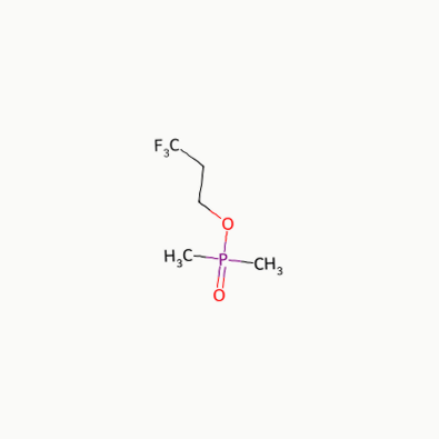 CP(C)(=O)OCCC(F)(F)F